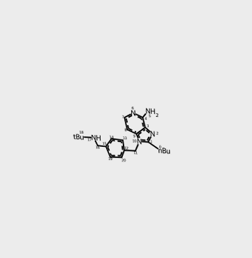 CCCCc1nc2c(N)nccc2n1Cc1ccc(CNC(C)(C)C)cc1